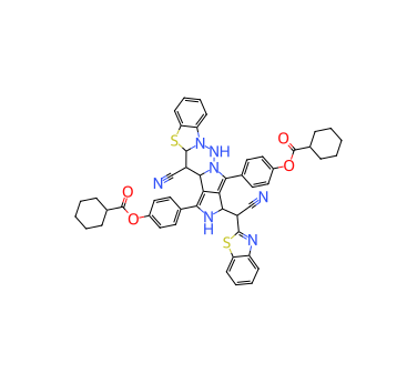 N#CC(c1nc2ccccc2s1)C1NC(c2ccc(OC(=O)C3CCCCC3)cc2)=C2C1=C(c1ccc(OC(=O)C3CCCCC3)cc1)N1NN3c4ccccc4SC3C(C#N)C21